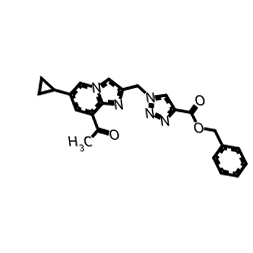 CC(=O)c1cc(C2CC2)cn2cc(Cn3cc(C(=O)OCc4ccccc4)nn3)nc12